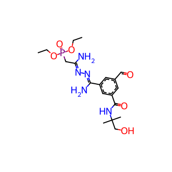 CCOP(=O)(C/C(N)=N/N=C(\N)c1cc(C=O)cc(C(=O)NC(C)(C)CO)c1)OCC